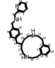 c1ccc(CNCc2ccc(CC3CCNCCc4cccc(c4)CCNCC3)cc2)nc1